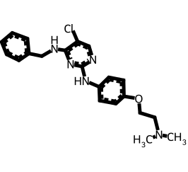 CN(C)CCOc1ccc(Nc2ncc(Cl)c(NCc3ccccc3)n2)cc1